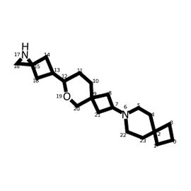 C1CC2(C1)CCN(C1CC3(CCC(C4CC5(CN5)C4)OC3)C1)CC2